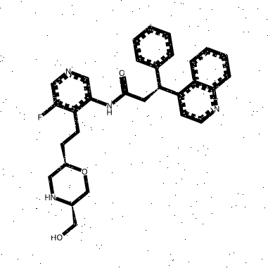 O=C(C[C@@H](c1ccccc1)c1ccnc2ccccc12)Nc1cncc(F)c1CC[C@@H]1CN[C@H](CO)CO1